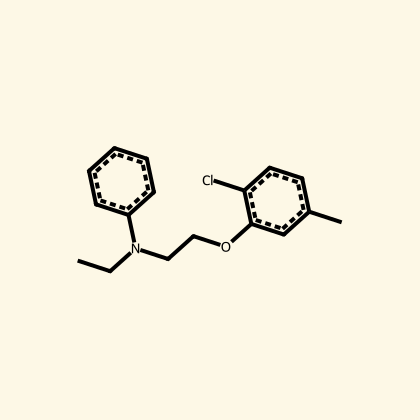 CCN(CCOc1cc(C)ccc1Cl)c1ccccc1